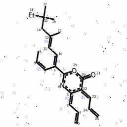 C=C/C=c1/nc(C(/C=C\C)=C/C=C(\C)CC(C)(C)CC)oc(=O)/c1=C/C=C